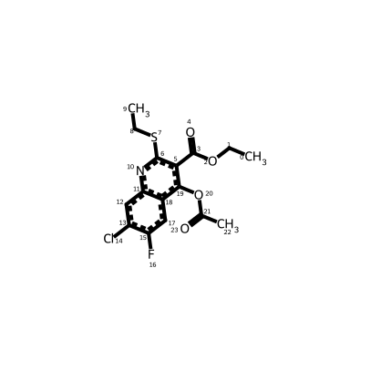 CCOC(=O)c1c(SCC)nc2cc(Cl)c(F)cc2c1OC(C)=O